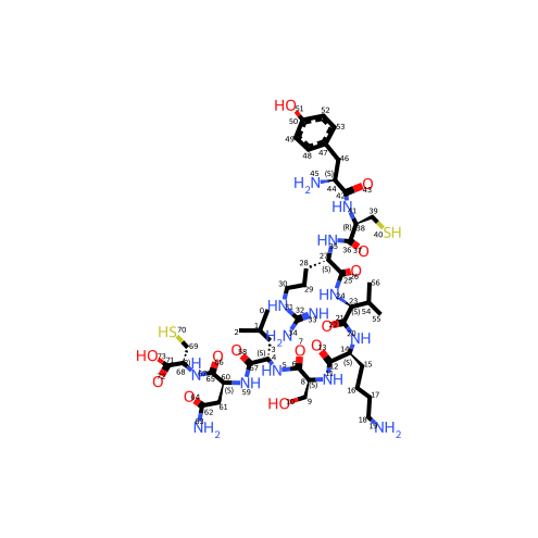 CC(C)C[C@H](NC(=O)[C@H](CO)NC(=O)[C@H](CCCCN)NC(=O)[C@@H](NC(=O)[C@H](CCCNC(=N)N)NC(=O)[C@H](CS)NC(=O)[C@@H](N)Cc1ccc(O)cc1)C(C)C)C(=O)N[C@@H](CC(N)=O)C(=O)N[C@@H](CS)C(=O)O